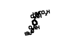 CC(C)(C)OC(=O)N[C@H]1CC[C@H](C(=O)NNC(=O)O)CC1